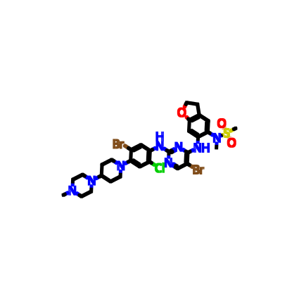 CN1CCN(C2CCN(c3cc(Cl)c(Nc4ncc(Br)c(Nc5cc6c(cc5N(C)S(C)(=O)=O)CCO6)n4)cc3Br)CC2)CC1